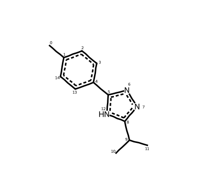 Cc1ccc(-c2nnc(C(C)C)[nH]2)cc1